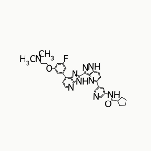 CN(C)CCOc1cc(F)cc(-c2ccnc3[nH]c(-c4n[nH]c5ccc(-c6cncc(NC(=O)C7CCCC7)c6)nc45)nc23)c1